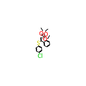 CCO[Si](/C=C(/Sc1ccc(Cl)cc1)c1ccccc1)(OCC)OCC